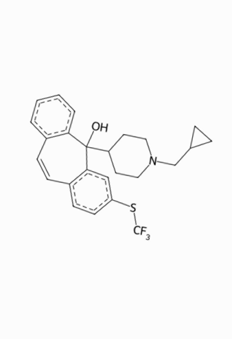 OC1(C2CCN(CC3CC3)CC2)c2ccccc2C=Cc2ccc(SC(F)(F)F)cc21